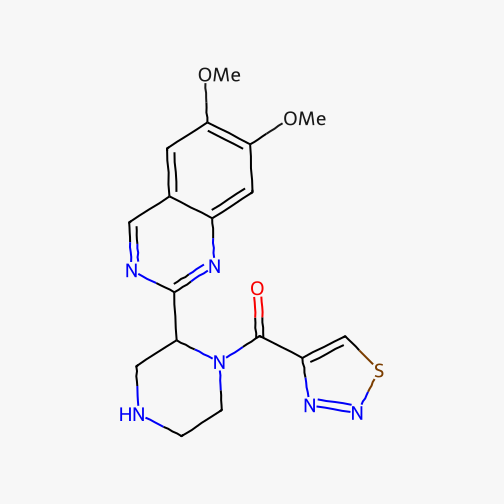 COc1cc2cnc(C3CNCCN3C(=O)c3csnn3)nc2cc1OC